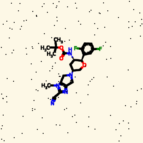 Cn1c(C#N)nc2c1CN([C@H]1CO[C@H](c3cc(F)ccc3F)[C@@H](NC(=O)OC(C)(C)C)C1)C2